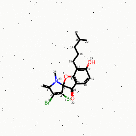 C=C1C(Br)=C(Br)C2(Oc3c(ccc(O)c3CCCC(C)C)C2=O)N1C